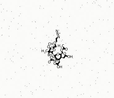 COC(=O)C(C)(Br)C(OCCOCCN=[N+]=[N-])O[C@@H]1O[C@@H](COC(C)=O)[C@@H](CC(=O)O)[C@@H](CC(=O)O)[C@H]1NC(C)=O